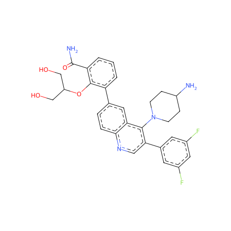 NC(=O)c1cccc(-c2ccc3ncc(-c4cc(F)cc(F)c4)c(N4CCC(N)CC4)c3c2)c1OC(CO)CO